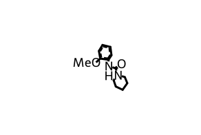 COc1ccccc1NC(=O)N1CCCCC1